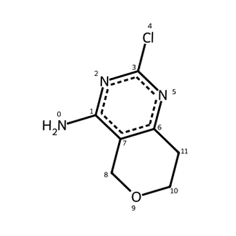 Nc1nc(Cl)nc2c1COCC2